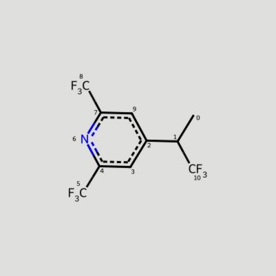 CC(c1cc(C(F)(F)F)nc(C(F)(F)F)c1)C(F)(F)F